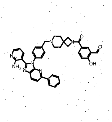 Nc1ncccc1-c1nc2ccc(-c3ccccc3)nc2n1-c1ccc(CN2CCC3(CC2)CN(C(=O)c2ccc(O)c(C=O)c2)C3)cc1